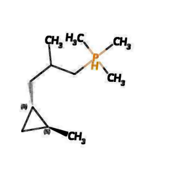 CC(C[C@H]1C[C@@H]1C)C[PH](C)(C)C